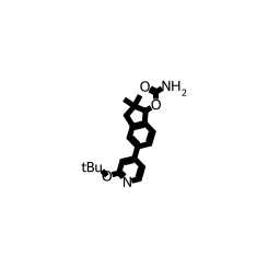 CC(C)(C)Oc1cc(-c2ccc3c(c2)CC(C)(C)C3OC(N)=O)ccn1